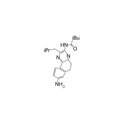 CCC(C)C(=O)Nc1nc2c(nc1CC(C)C)-c1ccc(N)cc1CC2